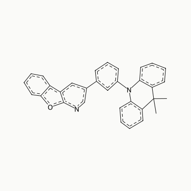 CC1(C)c2ccccc2N(c2cccc(-c3cnc4oc5ccccc5c4c3)c2)c2ccccc21